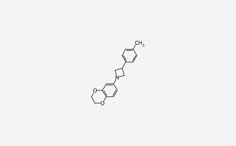 Cc1ccc(C2CN(c3ccc4c(c3)OCCO4)C2)cc1